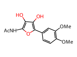 COc1ccc(-c2oc(NC(C)=O)c(O)c2O)cc1OC